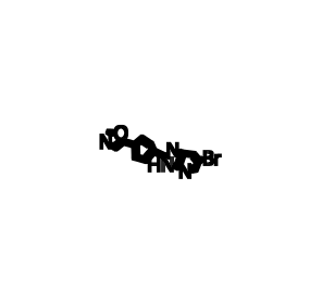 Brc1cnc2[nH]c(-c3ccc(-c4cnco4)cc3)nc2c1